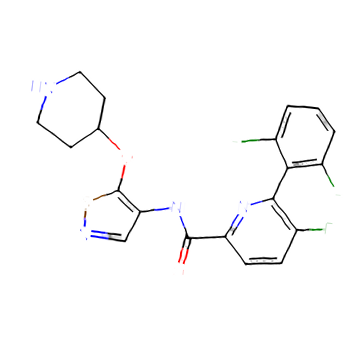 O=C(Nc1cnsc1OC1CCNCC1)c1ccc(F)c(-c2c(F)cccc2F)n1